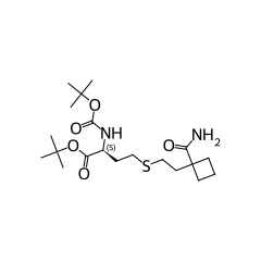 CC(C)(C)OC(=O)N[C@@H](CCSCCC1(C(N)=O)CCC1)C(=O)OC(C)(C)C